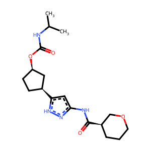 CC(C)NC(=O)O[C@@H]1CC[C@H](c2cc(NC(=O)[C@@H]3CCCOC3)n[nH]2)C1